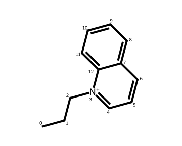 CCC[n+]1cccc2ccccc21